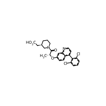 C[C@@H](Oc1ccc2c(-c3c(Cl)cccc3Cl)ccnc2c1)C(=O)N1CCC[C@H](CC(=O)O)C1